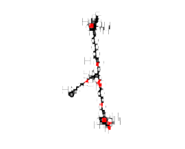 O=C(CCOCC(COCCC(=O)NCCOCCOCCOCCOC[C@@]12CO[C@@H](O1)[C@H](NC(=O)C(F)(F)F)[C@@H](O)[C@H]2O)NC(=O)COCCOCCOCCNc1ccccc1)NCCOCCOCCOCCOC[C@@]12CO[C@@H](O1)[C@H](NC(=O)C(F)(F)F)[C@@H](O)[C@H]2O